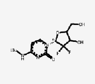 CC(C)(C)Nc1ccn([C@@H]2OC(CO)C(O)C2(F)F)c(=O)n1